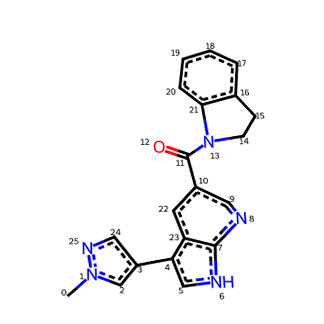 Cn1cc(-c2c[nH]c3ncc(C(=O)N4CCc5ccccc54)cc23)cn1